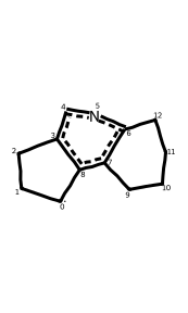 [CH]1CCc2cnc3c(c21)CCCC3